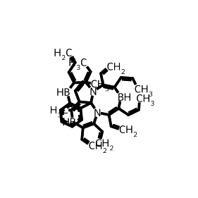 C=C/C=C1/Bc2ccccc2C23C(/C=C\C)=C(C)BC(C=C)=C(C=C)N2/C(C=C)=C(/C=C\C)BC(/C=C\C)=C(/C=C)N3/C1=C/C